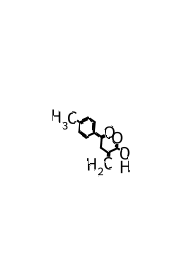 C=C(CC(=O)c1ccc(C)cc1)C(=O)O